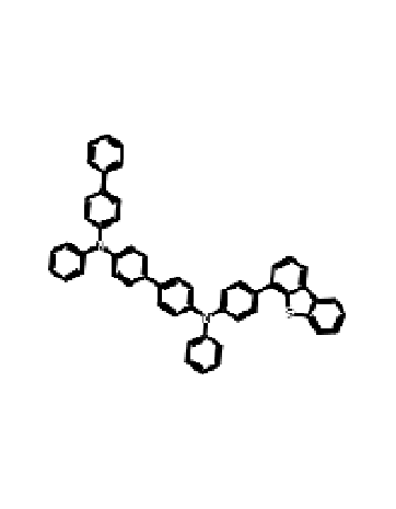 c1ccc(-c2ccc(N(c3ccccc3)c3ccc(-c4ccc(N(c5ccccc5)c5ccc(-c6cccc7c6sc6ccccc67)cc5)cc4)cc3)cc2)cc1